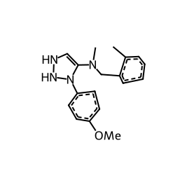 COc1ccc(N2NNC=C2N(C)Cc2ccccc2C)cc1